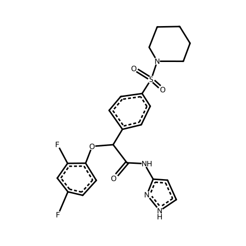 O=C(Nc1cc[nH]n1)C(Oc1ccc(F)cc1F)c1ccc(S(=O)(=O)N2CCCCC2)cc1